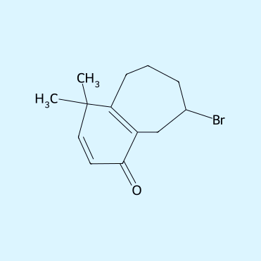 CC1(C)C=CC(=O)C2=C1CCCC(Br)C2